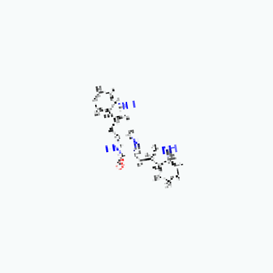 O=C1NC(Cc2c[nH]c3ccccc23)C=NC1Cc1c[nH]c2ccccc12